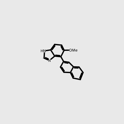 COc1ccc2[nH][c]nc2c1-c1ccc2ccccc2c1